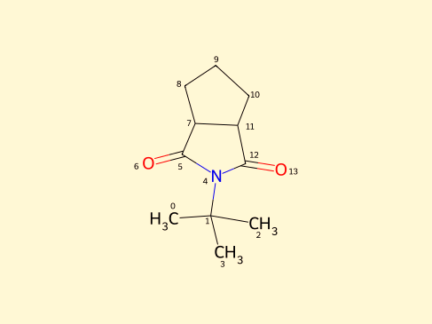 CC(C)(C)N1C(=O)C2CCCC2C1=O